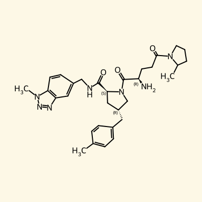 Cc1ccc(C[C@@H]2C[C@@H](C(=O)NCc3ccc4c(c3)nnn4C)N(C(=O)[C@H](N)CCC(=O)N3CCCC3C)C2)cc1